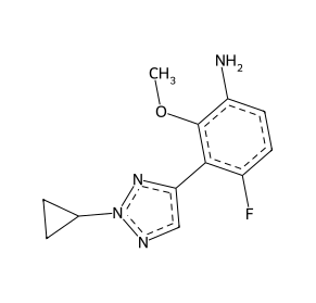 COc1c(N)ccc(F)c1-c1cnn(C2CC2)n1